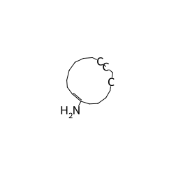 NC1=CCCCCCCCCCCCCCC1